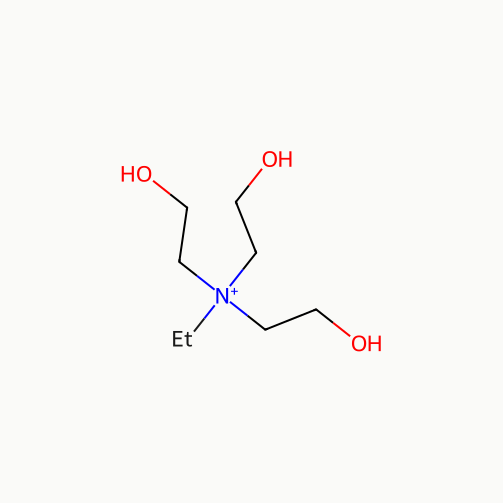 CC[N+](CCO)(CCO)CCO